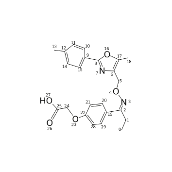 CCC(=NOCc1nc(-c2ccc(C)cc2)oc1C)c1ccc(OCC(=O)O)cc1